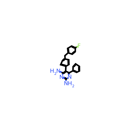 Nc1nc(N)c(-c2ccc(Cc3ccc(F)cc3)cc2)c(-c2ccccc2)n1